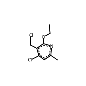 CCOc1nc(C)cc(Cl)c1CCl